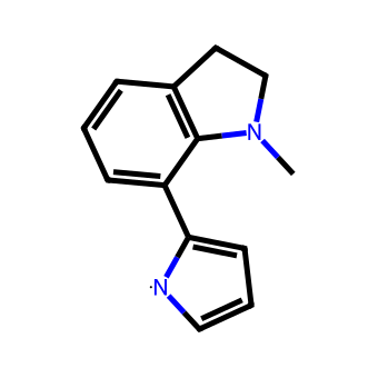 CN1CCc2cccc(C3=CC=C[N]3)c21